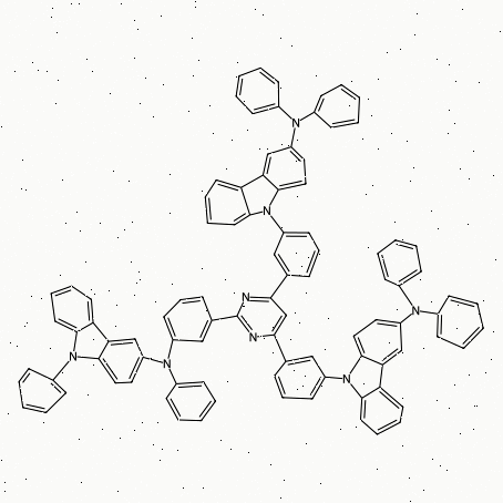 c1ccc(N(c2cccc(-c3nc(-c4cccc(-n5c6ccccc6c6cc(N(c7ccccc7)c7ccccc7)ccc65)c4)cc(-c4cccc(-n5c6ccccc6c6cc(N(c7ccccc7)c7ccccc7)ccc65)c4)n3)c2)c2ccc3c(c2)c2ccccc2n3-c2ccccc2)cc1